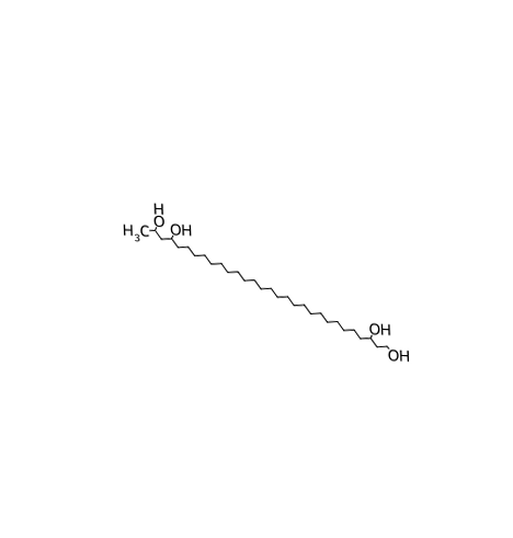 CC(O)CC(O)CCCCCCCCCCCCCCCCCCCCCCCC(O)CCO